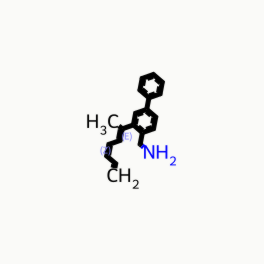 C=C/C=C\C=C(/C)c1cc(-c2ccccc2)ccc1CN